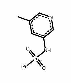 Cc1cncc(NS(=O)(=O)C(C)C)c1